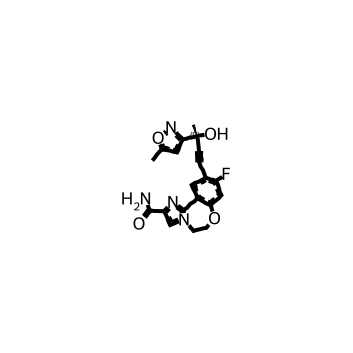 Cc1cc([C@](C)(O)C#Cc2cc3c(cc2F)OCCn2cc(C(N)=O)nc2-3)no1